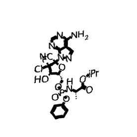 CC(C)OC(=O)[C@H](C)NP(=O)(OC[C@H]1O[C@@](C#N)(n2ncc3c(N)ncnc32)[C@@](F)(Cl)[C@@H]1O)Oc1ccccc1